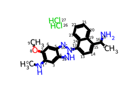 CNc1cc2c(cc1OC)[N]N(c1ccc(C(C)N)c3ccccc13)N2.Cl.Cl